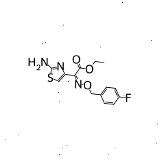 CCOC(=O)C(=NOCc1ccc(F)cc1)c1csc(N)n1